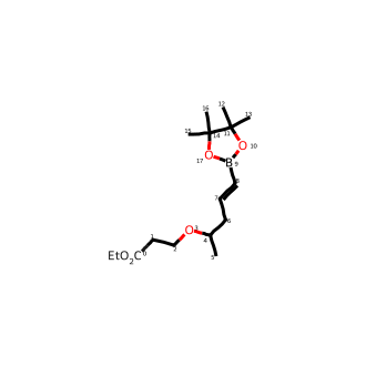 CCOC(=O)CCOC(C)C/C=C/B1OC(C)(C)C(C)(C)O1